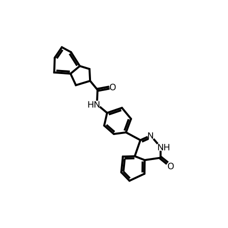 O=C(Nc1ccc(-c2n[nH]c(=O)c3c2=C=C=CC=3)cc1)C1Cc2ccccc2C1